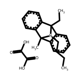 CCCCN1C2(C)c3ccccc3C1(CC)c1ccccc12.O=C(O)C(=O)O